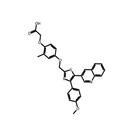 COc1ccc(-c2nc(COc3ccc(OCC(=O)O)c(C)c3)sc2-c2cnc3ccccc3c2)cc1